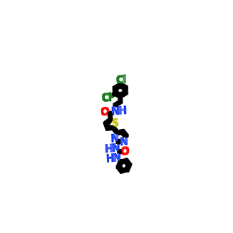 O=C(Nc1ccccc1)Nc1nccc(-c2ccc(C(=O)NCCc3ccc(Cl)cc3Cl)s2)n1